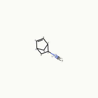 [C-]#[N+]C1CC2C=CC1C2